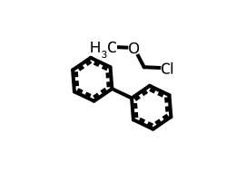 COCCl.c1ccc(-c2ccccc2)cc1